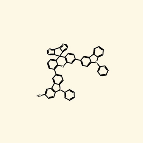 N#Cc1ccc2c(c1)c1cc(-c3cccc4c3Sc3cc(-c5ccc6c(c5)c5ccccc5n6-c5ccccc5)ccc3C43c4cccnc4-c4ncccc43)ccc1n2-c1ccccc1